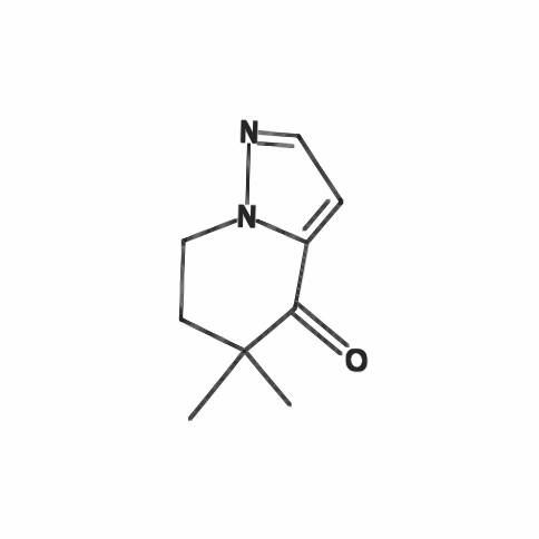 CC1(C)CCn2nccc2C1=O